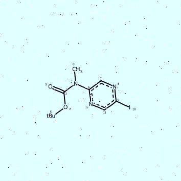 CN(C(=O)OC(C)(C)C)c1cnc(I)cn1